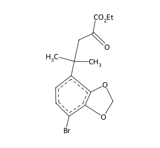 CCOC(=O)C(=O)CC(C)(C)c1ccc(Br)c2c1OCO2